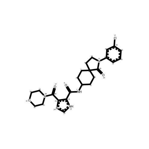 O=C(NC1CCC2(CC1)CCN(c1cccc(Cl)c1)C2=O)c1[nH]cnc1C(=O)N1CCOCC1